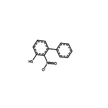 O=[N+]([O-])c1c(S)cccc1-c1ccccc1